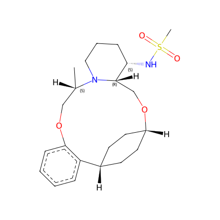 C[C@H]1COc2ccccc2[C@H]2CC[C@H](CC2)OC[C@H]2[C@@H](NS(C)(=O)=O)CCCN12